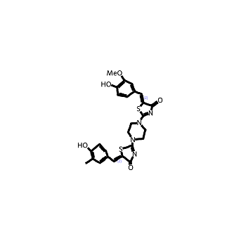 COc1cc(/C=C2\SC(N3CCN(C4=NC(=O)/C(=C/c5ccc(O)c(C)c5)S4)CC3)=NC2=O)ccc1O